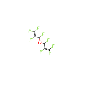 FC(F)=C(F)C(F)OC(F)C(F)=C(F)F